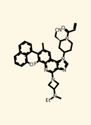 C=CC(=O)N1CCC(n2cnc3c(N4CC(N(C)CC)C4)nc4c(F)c(-c5cccc6cccc(Cl)c56)c(C)cc4c32)C[C@H]1CC#N